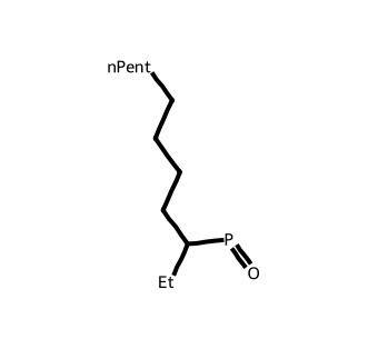 CCCCCCCCCC(CC)P=O